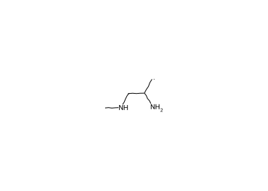 [CH2]C(N)CNC